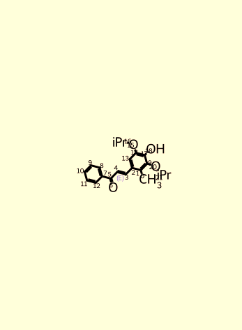 Cc1c(/C=C/C(=O)c2ccccc2)cc(OC(C)C)c(O)c1OC(C)C